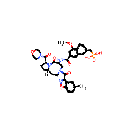 COc1cc(C(=O)N[C@H]2CN(C(=O)c3noc4ccc(C)cc34)CC[C@H]3CC[C@@H](C(=O)N4CCOCC4)N3C2=O)cc2cc(CP(=O)(O)O)ccc12